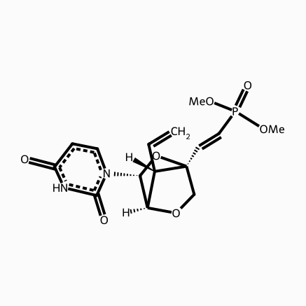 C=C[C@H]1[C@H]2OC[C@]1(/C=C/P(=O)(OC)OC)O[C@H]2n1ccc(=O)[nH]c1=O